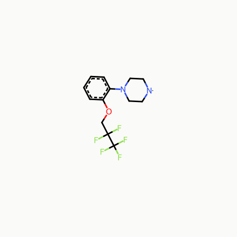 FC(F)(F)C(F)(F)COc1ccccc1N1CC[N]CC1